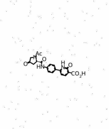 CC(=O)N1CC(=O)C[C@@H]1C(=O)Nc1ccc(-c2ccc(C(=O)O)c(=O)[nH]2)cc1